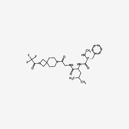 CN[C@H](Cc1ccccc1)C(=O)NC(CC(C)C)C(=O)NCC(=O)N1CCC2(CC1)CN(C(=O)C(F)(F)F)C2